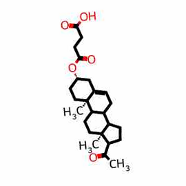 CC(=O)C1CCC2C3CC=C4C[C@@H](OC(=O)CCC(=O)O)CC[C@]4(C)C3CC[C@]12C